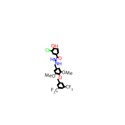 COc1cc(CNNC(=O)c2ccc(O)c(Cl)c2)cc(OC)c1OCc1cc(C(F)(F)F)cc(C(F)(F)F)c1